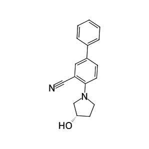 N#Cc1cc(-c2ccccc2)ccc1N1CC[C@H](O)C1